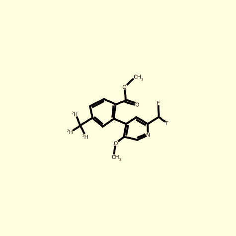 [2H]C([2H])([2H])c1ccc(C(=O)OC)c(-c2cc(C(F)F)ncc2OC)c1